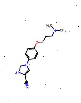 CN(C)CCCOc1ccc(N2C=C(C#N)NC2)cc1